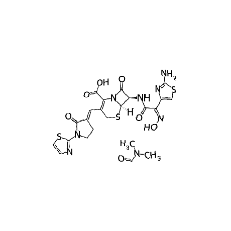 CN(C)C=O.Nc1nc(/C(=N/O)C(=O)N[C@@H]2C(=O)N3C(C(=O)O)=C(/C=C4\CCN(c5nccs5)C4=O)CS[C@H]23)cs1